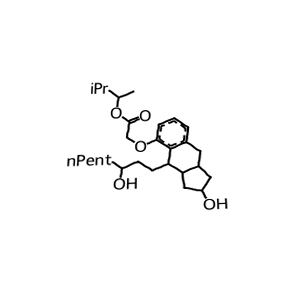 CCCCCC(O)CCC1c2c(cccc2OCC(=O)OC(C)C(C)C)CC2CC(O)CC21